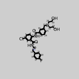 O=C(Nc1ccc(Cl)cc1C(=O)N/N=C/c1ccc(F)cc1)c1cccc(CN(CCO)CCO)c1